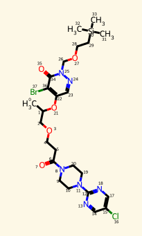 CC(COCCC(=O)N1CCN(c2ncc(Cl)cn2)CC1)Oc1cnn(COCC[Si](C)(C)C)c(=O)c1Br